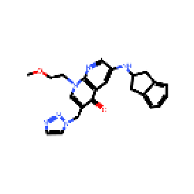 COCCn1cc(Cn2ccnn2)c(=O)c2cc(NC3Cc4ccccc4C3)cnc21